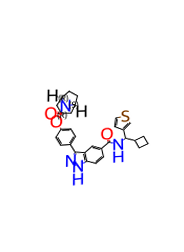 O=CN1[C@@H]2CC[C@H]1C[C@@H](Oc1ccc(-c3n[nH]c4ccc(C(=O)NC(c5ccsc5)C5CCC5)cc34)cc1)C2